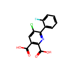 O=C(O)c1cc(Cl)c(-c2ccccc2F)nc1C(=O)O